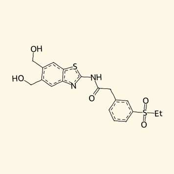 CCS(=O)(=O)c1cccc(CC(=O)Nc2nc3cc(CO)c(CO)cc3s2)c1